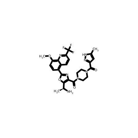 COc1ccc(-c2nc(C(=O)N3CCN(C(=O)c4cc(C)[nH]n4)CC3)c([C@H](C)N)o2)c2ccc(C(F)(F)F)nc12